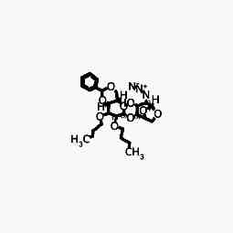 CCCCOC1[C@H](OCCCC)[C@H](O[C@@H]2C3CO[C@H](O3)[C@@H](N=[N+]=[N-])C2O)O[C@H]2COC(c3ccccc3)O[C@@H]12